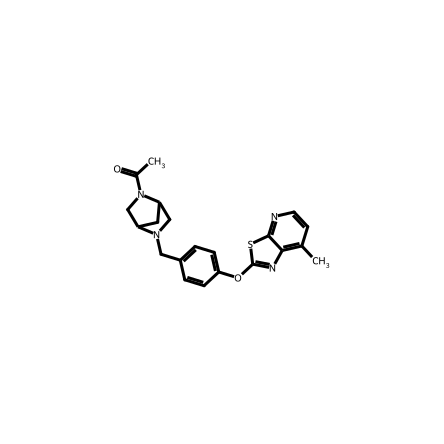 CC(=O)N1CC2CC1CN2Cc1ccc(Oc2nc3c(C)ccnc3s2)cc1